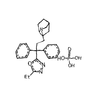 CCc1nnc(C(CCN2CC3CCC2CC3)(c2ccccc2)c2ccccc2)o1.O=P(O)(O)O